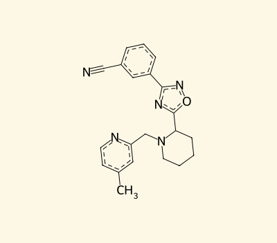 Cc1ccnc(CN2CCCCC2c2nc(-c3cccc(C#N)c3)no2)c1